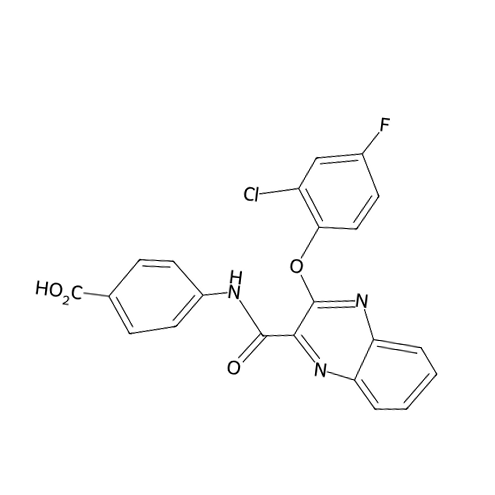 O=C(O)c1ccc(NC(=O)c2nc3ccccc3nc2Oc2ccc(F)cc2Cl)cc1